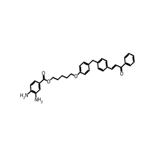 Nc1ccc(C(=O)OCCCCCOc2ccc(Cc3ccc(/C=C/C(=O)c4ccccc4)cc3)cc2)cc1N